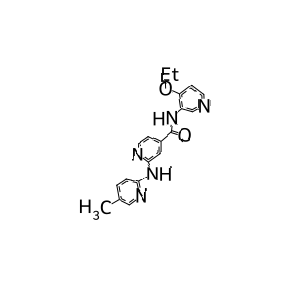 CCOc1ccncc1NC(=O)c1ccnc(Nc2ccc(C)cn2)c1